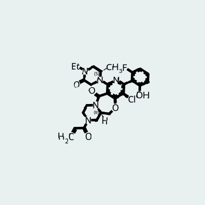 C=CC(=O)N1CCN2C(=O)c3c(N4CC(=O)N(CC)C[C@@H]4C)nc(-c4c(O)cccc4F)c(Cl)c3OC[C@H]2C1